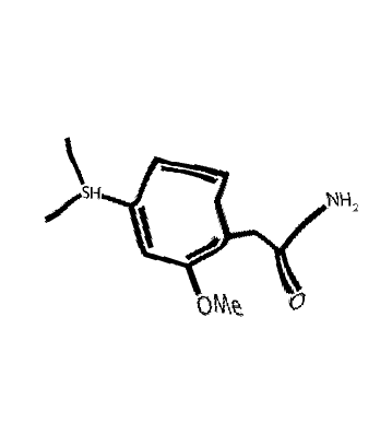 COc1cc([SH](C)C)ccc1C(N)=O